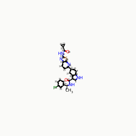 C[C@H](NC(=O)c1c[nH]c2ccc(-c3ccc4nc(NC(=O)C5CC5)sc4n3)cc12)c1cccc(F)c1